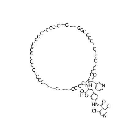 O=C(Nc1ccc(C[C@H](NC2=C(c3cccnc3)C(=O)C23CCCCCCCCCCCCCCCCCCCCCCCCCCCCCCCCCCCCCCCCCCCCCCCCCCC3)C(=O)O)cc1)c1c(Cl)cncc1Cl